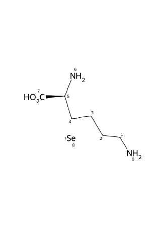 NCCCC[C@H](N)C(=O)O.[Se]